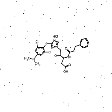 CN(C)c1cc(Cl)c(Sc2nnn(CC(=O)C(CC(=O)O)NC(=O)OCc3ccccc3)n2)c(Cl)c1.Cl